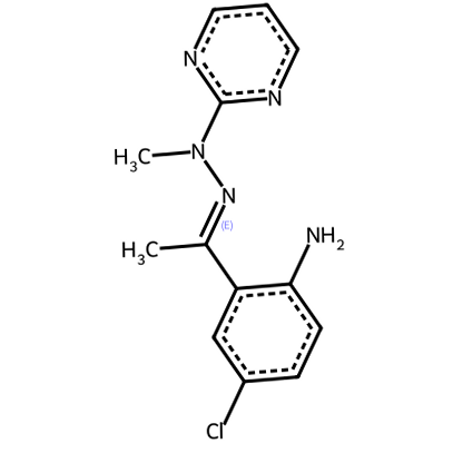 C/C(=N\N(C)c1ncccn1)c1cc(Cl)ccc1N